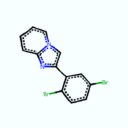 Brc1ccc(Br)c(-c2cn3ccccc3n2)c1